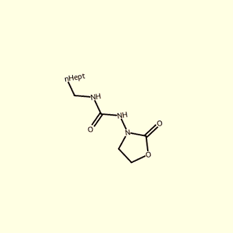 CCCCCCCCNC(=O)NN1CCOC1=O